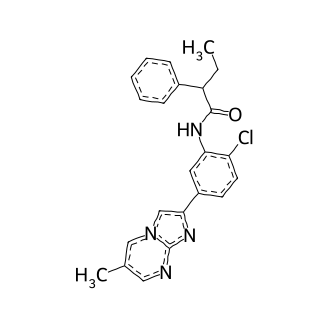 CCC(C(=O)Nc1cc(-c2cn3cc(C)cnc3n2)ccc1Cl)c1ccccc1